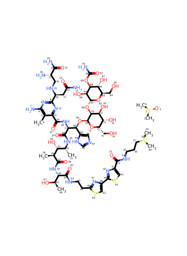 C[S+](C)[O-].Cc1c(N)nc([C@H](CC(N)=O)NC[C@H](N)C(N)=O)nc1C(=O)N[C@H](C(=O)N[C@H](C)[C@@H](O)[C@H](C)C(=O)N[C@H](C(=O)NCCc1nc(-c2nc(C(=O)NCCC[S+](C)C)cs2)cs1)[C@@H](C)O)[C@@H](O[C@@H]1O[C@@H](CO)[C@@H](O)[C@H](O)[C@@H]1O[C@H]1O[C@H](CO)[C@@H](O)[C@H](OC(N)=O)[C@@H]1O)c1cnc[nH]1